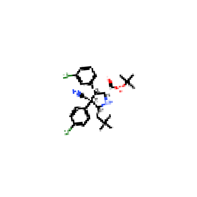 CC(C)(C)C[C@@H]1N[C@@H](C(=O)OC(C)(C)C)[C@H](c2cccc(Cl)c2)[C@@]1(C#N)c1ccc(Cl)cc1